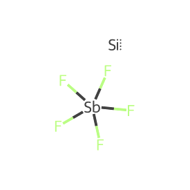 [F][Sb]([F])([F])([F])[F].[Si]